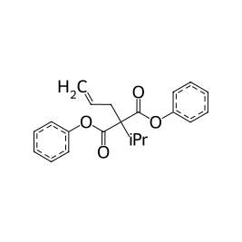 C=CCC(C(=O)Oc1ccccc1)(C(=O)Oc1ccccc1)C(C)C